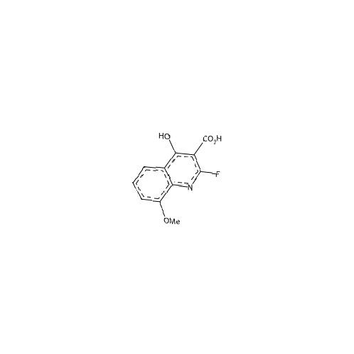 COc1cccc2c(O)c(C(=O)O)c(F)nc12